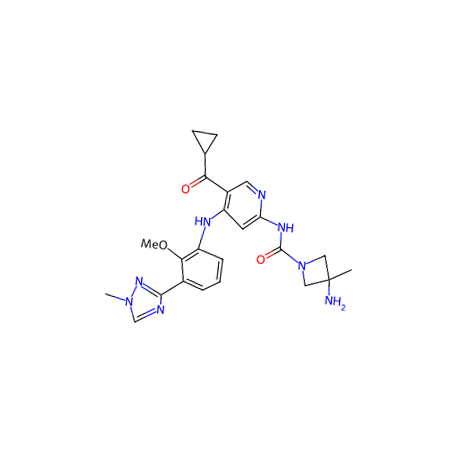 COc1c(Nc2cc(NC(=O)N3CC(C)(N)C3)ncc2C(=O)C2CC2)cccc1-c1ncn(C)n1